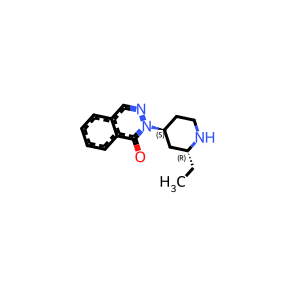 CC[C@@H]1C[C@@H](n2ncc3ccccc3c2=O)CCN1